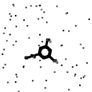 FC(F)(F)c1c[c]([Mg][Cl])cc(C(F)(F)F)c1